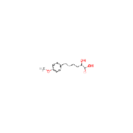 COc1ccc(CCCCC(O)C(=O)O)cc1